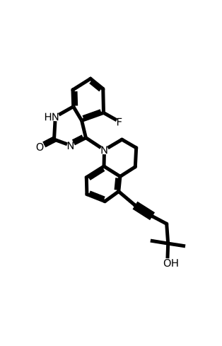 CC(C)(O)CC#Cc1cccc2c1CCCN2c1nc(=O)[nH]c2cccc(F)c12